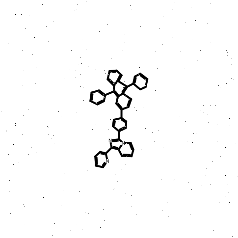 C1=CCCC(c2c3ccccc3c(-c3ccccc3)c3cc(-c4ccc(-c5nc(-c6ccccn6)c6ccccn56)cc4)ccc23)=C1